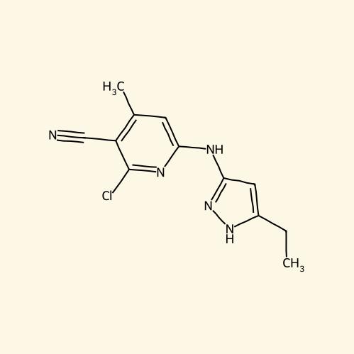 CCc1cc(Nc2cc(C)c(C#N)c(Cl)n2)n[nH]1